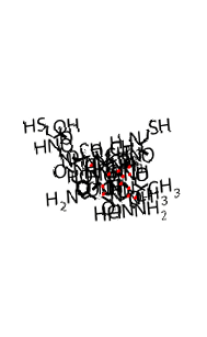 CC[C@H](C)[C@H](NC(=O)[C@@H]1CCCN1C(=O)[C@@H]1CCCN1C(=O)[C@@H](NC(=O)[C@H](CO)NC(=O)[C@H](CCCCN)NC(=O)[C@@H](NC(=O)[C@H](C)NC(=O)[C@H](CCCNC(=N)N)NC(=O)CNC(=O)[C@@H](N)CCS)[C@@H](C)O)[C@@H](C)CC)C(=O)N[C@@H](C)C(=O)N[C@@H](Cc1ccccc1)C(=O)NCC(=O)N[C@@H](CCS)C(=O)O